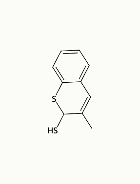 CC1=Cc2ccccc2SC1S